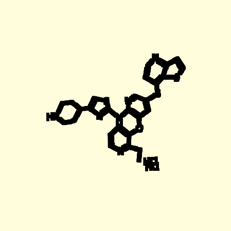 CCc1ncccc1Oc1cc(Sc2ccnc3ccsc23)cnc1Nc1nc(C2CCNCC2)cs1.Cl.Cl